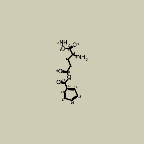 NOC(=O)C(N)CCC(=O)OC(=O)c1ccccc1